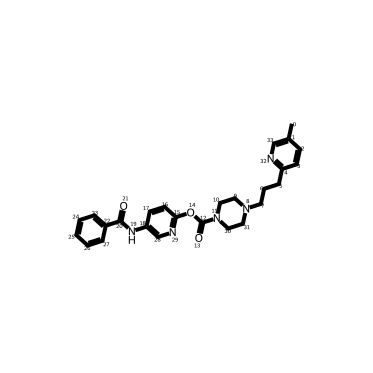 Cc1ccc(CCCN2CCN(C(=O)Oc3ccc(NC(=O)c4ccccc4)cn3)CC2)nc1